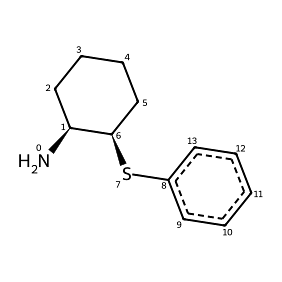 N[C@H]1CCCC[C@H]1Sc1ccccc1